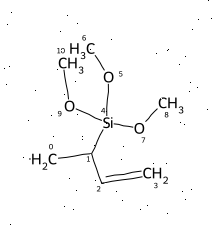 [CH2]C(C=C)[Si](OC)(OC)OC